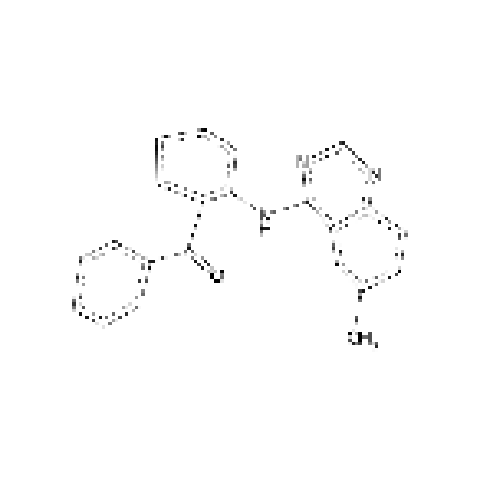 Cc1ccc2ncnc(Nc3ccccc3C(=O)c3ccccc3)c2c1